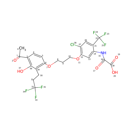 CC(=O)c1ccc(OCCCOc2cc(NC(=O)C(=O)O)c(C(F)(F)F)cc2Cl)c(CCC(F)(F)F)c1O